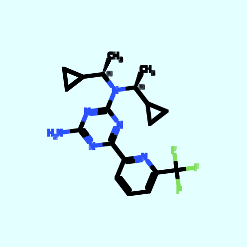 C[C@@H](C1CC1)N(c1nc(N)nc(-c2cccc(C(F)(F)F)n2)n1)[C@@H](C)C1CC1